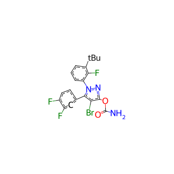 CC(C)(C)c1cccc(-n2nc(OC(N)=O)c(Br)c2-c2ccc(F)c(F)c2)c1F